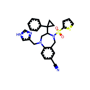 N#Cc1ccc2c(c1)CN(S(=O)(=O)c1cccs1)C(C1(c3ccccc3)CC1)CN2Cc1c[nH]cn1